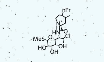 CCCC1CCN[C@H](C(=O)N[C@@H]([C@H]2O[C@H](SC)[C@H](O)[C@@H](O)[C@H]2O)[C@H](C)Cl)CC1C